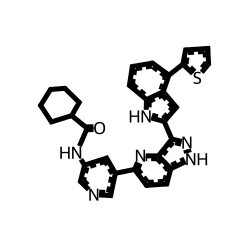 O=C(Nc1cncc(-c2ccc3[nH]nc(-c4cc5c(-c6cccs6)cccc5[nH]4)c3n2)c1)C1CCCCC1